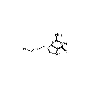 Nc1nc2c(c(=O)[nH]1)NCN2COCCO